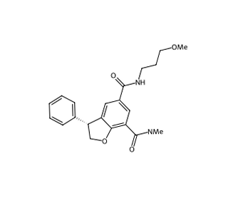 CNC(=O)c1cc(C(=O)NCCCOC)cc2c1OC[C@@H]2c1ccccc1